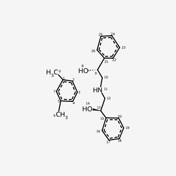 Cc1cccc(C)c1.O[C@@H](CNC[C@H](O)c1ccccc1)c1ccccc1